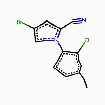 Cc1ccc(-n2cc(Br)cc2C#N)c(Cl)c1